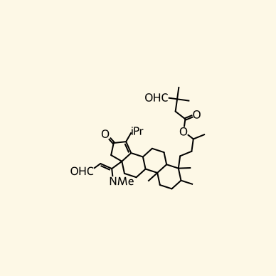 CN/C(=C\C=O)C12CCC3C(CCC4C(C)(CCC(C)OC(=O)CC(C)(C)C=O)C(C)CCC34C)C1=C(C(C)C)C(=O)C2